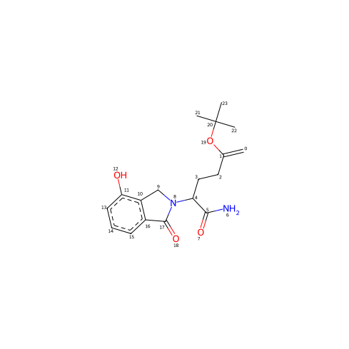 C=C(CCC(C(N)=O)N1Cc2c(O)cccc2C1=O)OC(C)(C)C